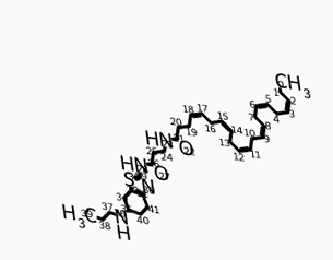 CC/C=C\C/C=C\C/C=C\C/C=C\C/C=C\C/C=C\CCC(=O)NCCC(=O)Nc1nc2c(s1)C[C@H](NCCC)CC2